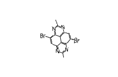 Cc1nc2cc(Br)c3nc(C)nc4cc(Br)c(n1)c2c43